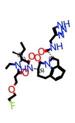 CC[C@H](C)[C@@H](C(=O)N[C@H]1CCc2cccc3c2N(C1=O)[C@H](C(=O)NCc1c[nH]nn1)C3)N(CC)C(=O)CCOCCF